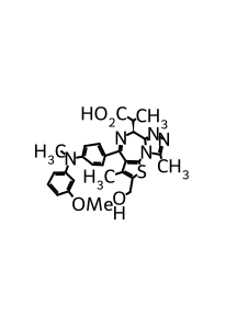 COc1cccc(N(C)c2ccc(C3=N[C@@H](C(C)C(=O)O)c4nnc(C)n4-c4sc(CO)c(C)c43)cc2)c1